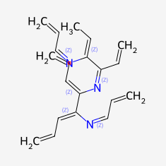 C=C\C=N/C(=C\C=C)C(=C/C=C)/N=C(C=C)\C(=C\C)\N=C/C=C